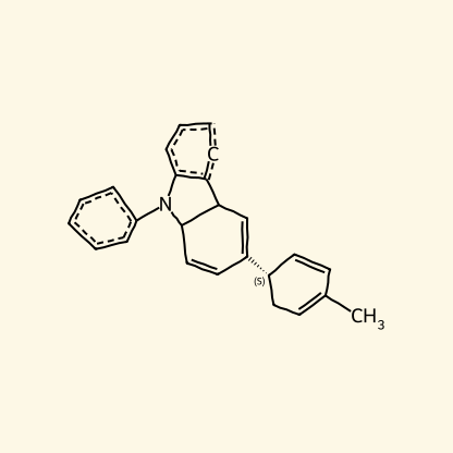 CC1=CC[C@H](C2=CC3c4ccccc4N(c4ccccc4)C3C=C2)C=C1